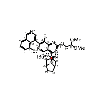 CCc1cccc2cncc(-c3ncc4c(N5CC6CCC(C5)N6C(=O)OC(C)(C)C)nc(OCC(OC)OC)nc4c3F)c12